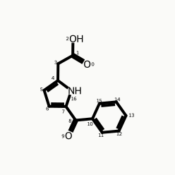 O=C(O)Cc1ccc(C(=O)c2ccccc2)[nH]1